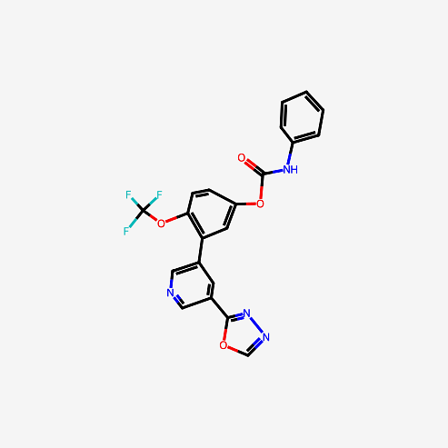 O=C(Nc1ccccc1)Oc1ccc(OC(F)(F)F)c(-c2cncc(-c3nnco3)c2)c1